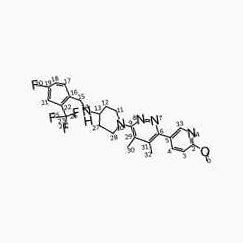 COc1ccc(-c2nnc(N3CCC(NCc4ccc(F)cc4C(F)(F)F)CC3)c(C)c2C)cn1